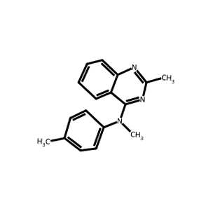 Cc1ccc(N(C)c2nc(C)nc3ccccc23)cc1